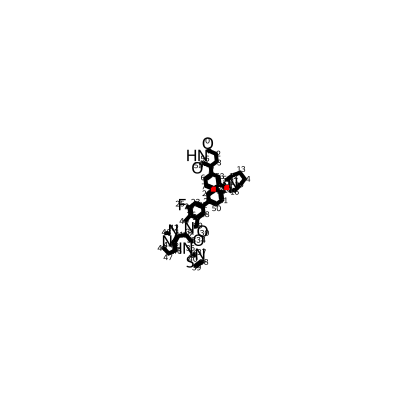 O=C1CCC(c2cccc(CN3C4CCC3CN(c3ccc(-c5cc(F)c6c(c5)C(=O)N(C(C(=O)Nc5nccs5)c5ncn7c5CCC7)C6)cc3)C4)c2)C(=O)N1